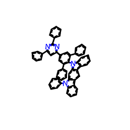 c1ccc(-c2cc(-c3cc(-c4ccccc4)c(-n4c5ccccc5c5cc6c7ccccc7n(-c7ccccc7)c6cc54)c(-c4ccccc4)c3)nc(-c3ccccc3)n2)cc1